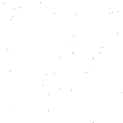 O=C(Nc1ccncc1)Oc1cnn(-c2ccc(F)c(F)c2)c1C(F)(F)F